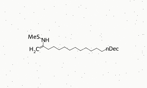 C=C(CCCCCCCCCCCCCCCCCCCCC)NSC